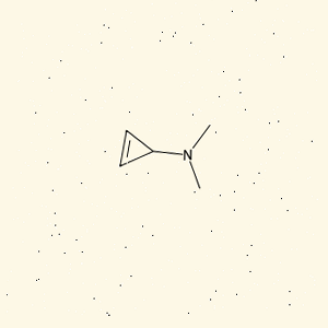 CN(C)C1C=C1